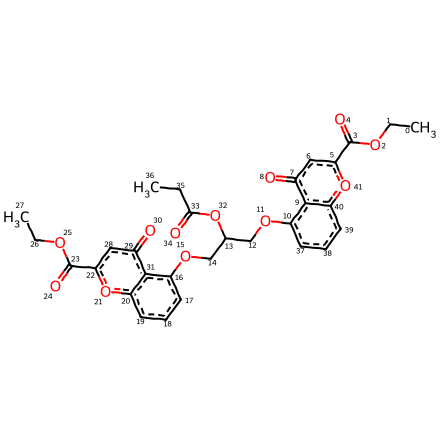 CCOC(=O)c1cc(=O)c2c(OCC(COc3cccc4oc(C(=O)OCC)cc(=O)c34)OC(=O)CC)cccc2o1